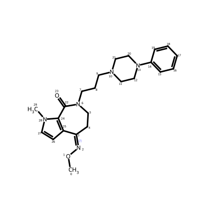 CO/N=C1/CCN(CCCN2CCN(c3ccccc3)CC2)C(=O)c2c1ccn2C